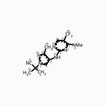 CNc1nc(Nc2cn(C(C)(C)C#N)nc2C)ncc1C(F)(F)F